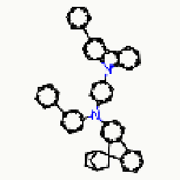 c1ccc(-c2cccc(N(c3ccc(-n4c5ccccc5c5cc(-c6ccccc6)ccc54)cc3)c3ccc4c(c3)C3(CC5CCC3C5)c3ccccc3-4)c2)cc1